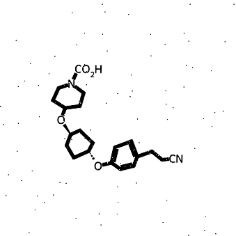 N#CCCc1ccc(O[C@H]2CC[C@H](OC3CCN(C(=O)O)CC3)CC2)cc1